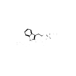 CCOC(=O)n1c(C(=O)O)c(CCO[Si](C)(C)C(C)(C)C)c2ccccc21